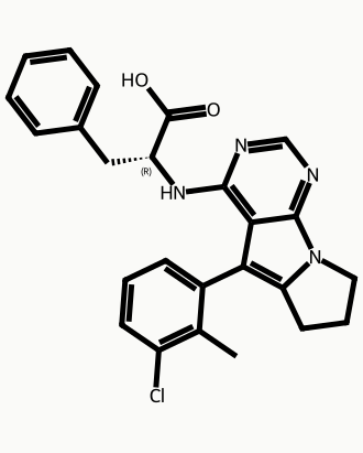 Cc1c(Cl)cccc1-c1c2n(c3ncnc(N[C@H](Cc4ccccc4)C(=O)O)c13)CCC2